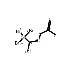 C=C(C)COC(CC)[Si](Br)(Br)Br